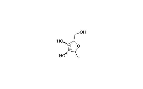 CC1OC(CO)[C@H](O)[C@@H]1O